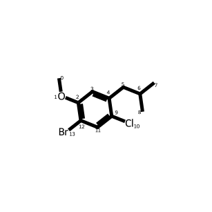 COc1cc(CC(C)C)c(Cl)cc1Br